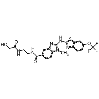 Cn1c(Nc2nc3ccc(OC(F)(F)F)cc3s2)nc2cc(C(=O)NCCNC(=O)CO)ccc21